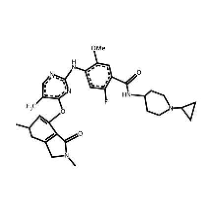 COc1cc(C(=O)NC2CCN(C3CC3)CC2)c(F)cc1Nc1ncc(C(F)(F)F)c(OC2=CC(C)CC3=C2C(=O)N(C)C3)n1